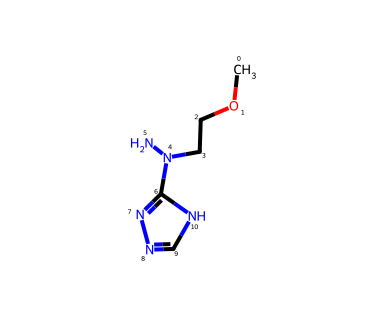 COCCN(N)c1nnc[nH]1